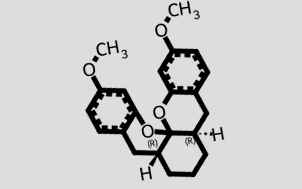 COc1ccc2c(c1)OC13Oc4cc(OC)ccc4C[C@H]1CCC[C@@H]3C2